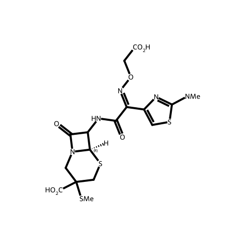 CNc1nc(C(=NOCC(=O)O)C(=O)NC2C(=O)N3CC(SC)(C(=O)O)CS[C@H]23)cs1